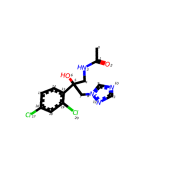 CC(=O)NCC(O)(Cn1cncn1)c1ccc(Cl)cc1Cl